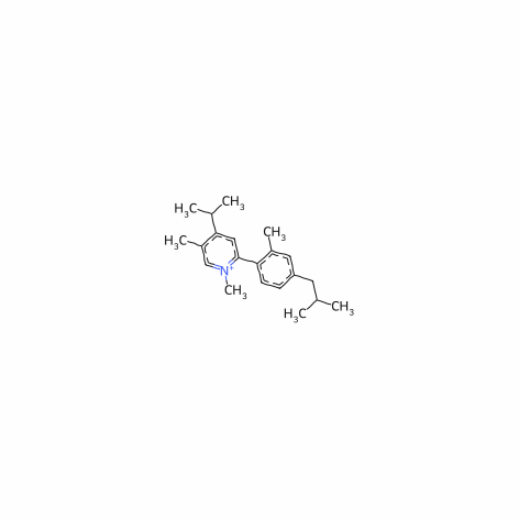 Cc1cc(CC(C)C)ccc1-c1cc(C(C)C)c(C)c[n+]1C